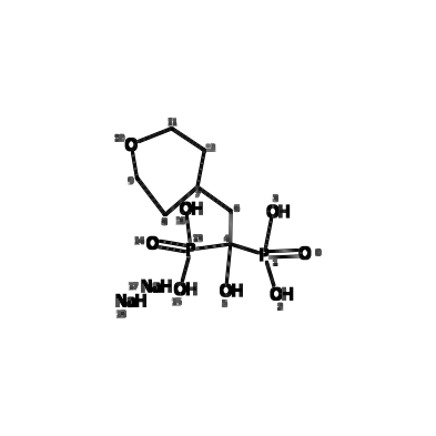 O=P(O)(O)C(O)(CC1CCOCC1)P(=O)(O)O.[NaH].[NaH]